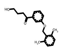 Cc1cccc(C)c1COc1cccc(C(=O)CCCO)c1